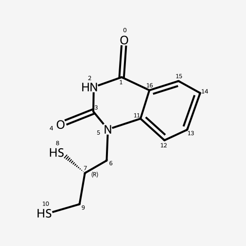 O=c1[nH]c(=O)n(C[C@@H](S)CS)c2ccccc12